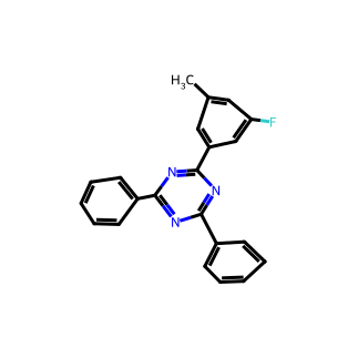 Cc1cc(F)cc(-c2nc(-c3ccccc3)nc(-c3ccccc3)n2)c1